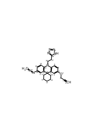 C#CCOc1ccc2c(c1)C1(CCCCC1)c1cc(N=[N+]=C)ccc1N2CCc1nnn[nH]1